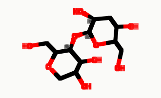 OCC1O[C@@H](O[C@@H]2C(CO)OCC(O)C2O)[C@@H](O)CC1O